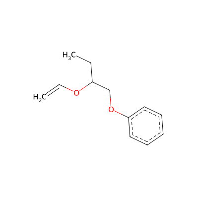 C=COC(CC)COc1ccccc1